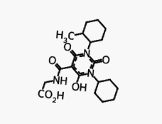 CC1CCCCC1n1c(=O)c(C(=O)NCC(=O)O)c(O)n(C2CCCCC2)c1=O